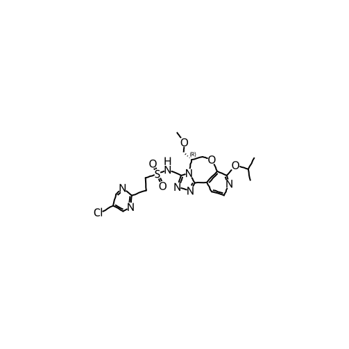 COC[C@@H]1COc2c(ccnc2OC(C)C)-c2nnc(NS(=O)(=O)CCc3ncc(Cl)cn3)n21